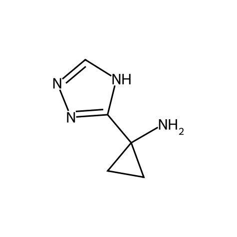 NC1(c2nnc[nH]2)CC1